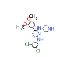 COc1ccc(-c2cnc(Nc3cc(Cl)cc(Cl)c3)nc2NC2CCNCC2)cc1OC